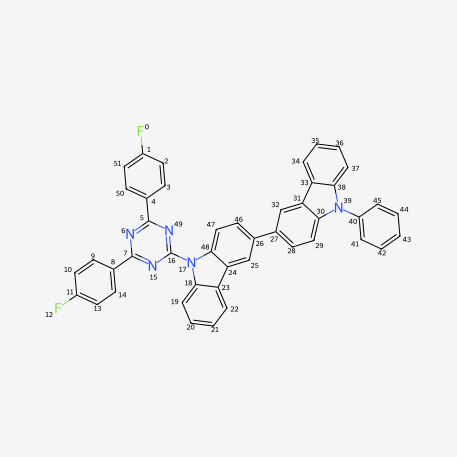 Fc1ccc(-c2nc(-c3ccc(F)cc3)nc(-n3c4ccccc4c4cc(-c5ccc6c(c5)c5ccccc5n6-c5ccccc5)ccc43)n2)cc1